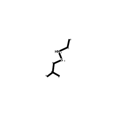 CCNSCC(C)C